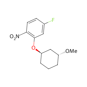 CO[C@@H]1CCC[C@@H](Oc2cc(F)ccc2[N+](=O)[O-])C1